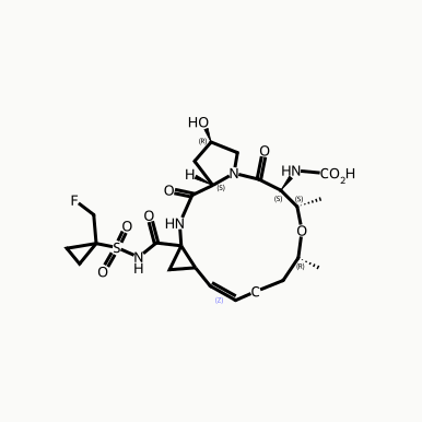 C[C@@H]1CC/C=C\C2CC2(C(=O)NS(=O)(=O)C2(CF)CC2)NC(=O)[C@@H]2C[C@@H](O)CN2C(=O)[C@@H](NC(=O)O)[C@H](C)O1